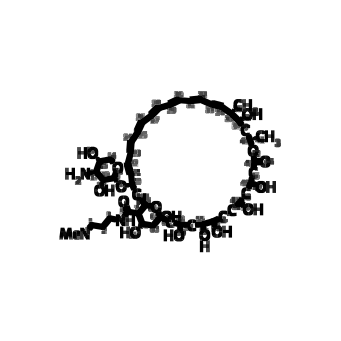 CNCCCNC(=O)C1[C@@H]2C[C@@H](O[C@@H]3OC[C@@H](O)[C@H](N)[C@@H]3O)/C=C/C=C/C=C/C=C/C=C/C=C/C=C/[C@H](C)[C@@H](O)C[C@H](C)OC(=O)CC(O)CC(O)CCC(O)C(O)CC(O)C[C@](O)(C[C@@H]1O)O2